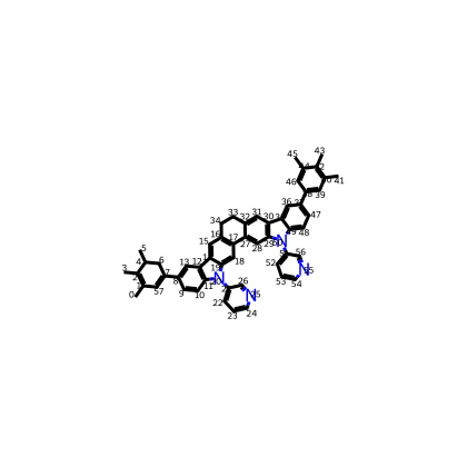 CC1=C(C)C(C)CC(c2ccc3c(c2)c2cc4c(cc2n3-c2cccnc2)-c2cc3c(cc2CC4)c2cc(-c4cc(C)c(C)c(C)c4)ccc2n3-c2cccnc2)=C1